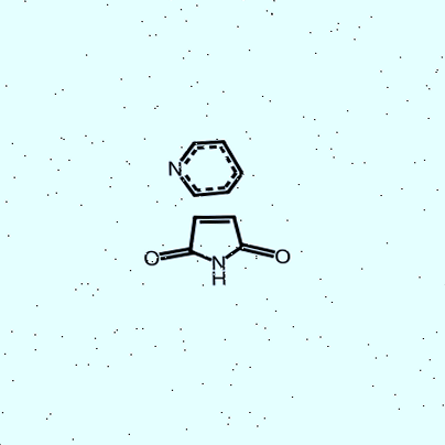 O=C1C=CC(=O)N1.c1ccncc1